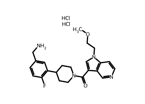 COCCn1cc(C(=O)N2CCC(c3cc(CN)ccc3F)CC2)c2cnccc21.Cl.Cl